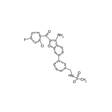 CS(=O)(=O)NCc1cccc(-c2ccc3c(N)c(C(=O)c4ccc(F)cc4Cl)oc3c2)c1